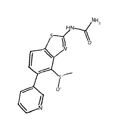 C[S+]([O-])c1c(-c2cccnc2)ccc2sc(NC(N)=O)nc12